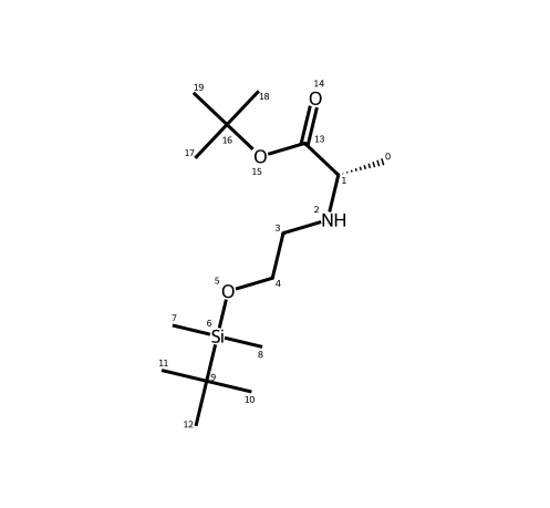 C[C@H](NCCO[Si](C)(C)C(C)(C)C)C(=O)OC(C)(C)C